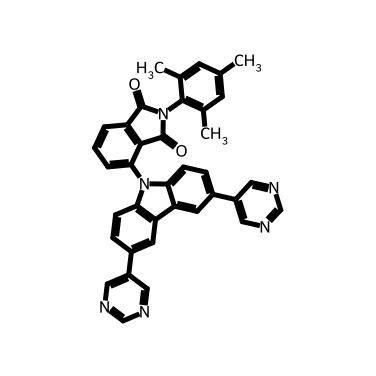 Cc1cc(C)c(N2C(=O)c3cccc(-n4c5ccc(-c6cncnc6)cc5c5cc(-c6cncnc6)ccc54)c3C2=O)c(C)c1